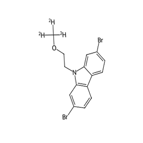 [2H]C([2H])([2H])OCCn1c2cc(Br)ccc2c2ccc(Br)cc21